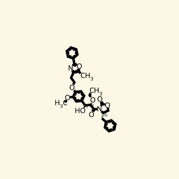 CCO[C@H](C(=O)N1C(=O)OC[C@@H]1Cc1ccccc1)[C@H](O)c1ccc(OCCc2nc(-c3ccccc3)oc2C)c(OC)c1